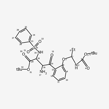 CCC(NC(=O)OC(C)(C)C)Oc1ccccc1C(=O)C(N)C(NS(=O)(=O)c1ccccc1)C(=O)OC(C)(C)C